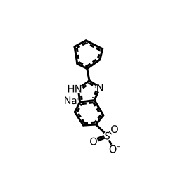 O=S(=O)([O-])c1ccc2[nH]c(-c3ccccc3)nc2c1.[Na+]